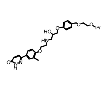 Cc1cc(-c2ccc(=O)[nH]n2)ccc1OCCNCC(O)COc1ccc(COCCOC(C)C)cc1